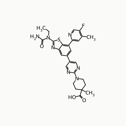 CCN(C(N)=O)c1nc2cc(-c3cnc(N4CCC(C)(C(=O)O)CC4)nc3)cc(-c3cc(C)c(F)cn3)c2s1